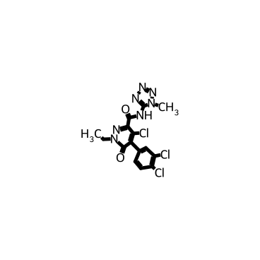 CCn1nc(C(=O)Nc2nnnn2C)c(Cl)c(-c2ccc(Cl)c(Cl)c2)c1=O